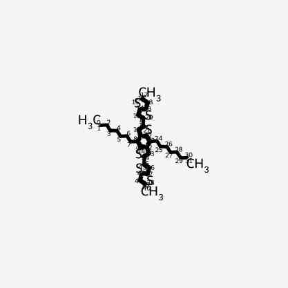 CCCCCCCCc1c2cc(-c3cc4sc(C)cc4s3)sc2c(CCCCCCCC)c2cc(-c3cc4sc(C)cc4s3)sc12